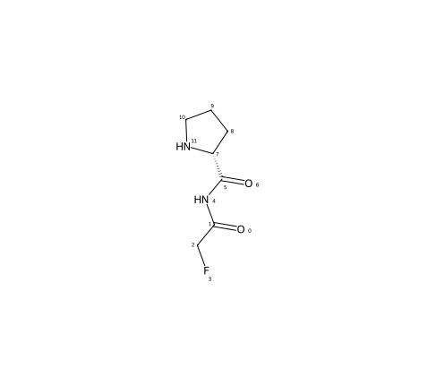 O=C(CF)NC(=O)[C@H]1CCCN1